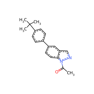 CC(=O)n1ncc2cc(-c3ccc(C(C)(C)C)cc3)ccc21